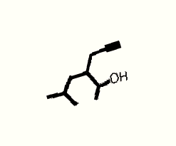 C#CCC(CC(C)C)C(C)O